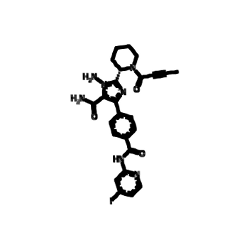 CC#CC(=O)N1CCCC[C@H]1c1nc(-c2ccc(C(=O)Nc3cc(I)ccn3)cc2)c(C(N)=O)n1N